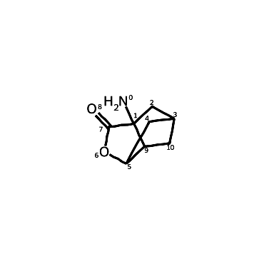 NC12CC3CC(OC1=O)C2C3